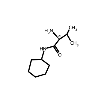 CC(C)[C@H](N)C(=O)NC1C[CH]CCC1